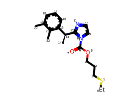 CCSCCCOC(=O)n1ccnc1[C@@H](C)c1cccc(C)c1C